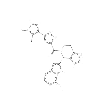 Cc1c(-c2nnc(C(=O)N3CCc4[nH]cnc4[C@H]3c3cc4cccc(Cl)n4n3)o2)cnn1C